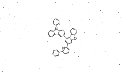 c1ccc(-c2cccc(-c3cc(-c4ccc5c(c4)c4ccccc4n5-c4ccccc4)c4c(c3)oc3ccccc34)n2)cc1